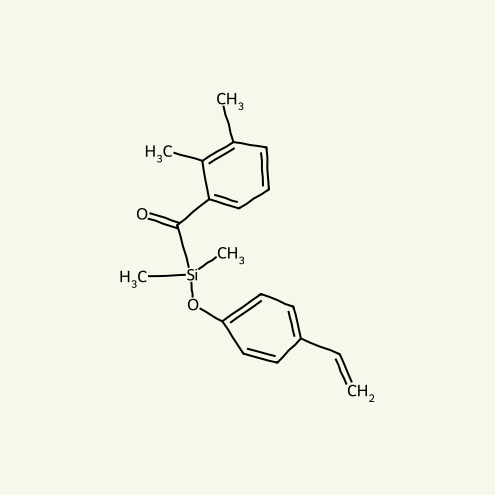 C=Cc1ccc(O[Si](C)(C)C(=O)c2cccc(C)c2C)cc1